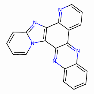 c1ccc2nc3c(nc2c1)c1cccnc1c1nc2ccccn2c31